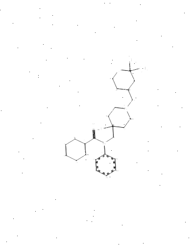 CC1(C)CC(CN2CCC(F)(CN(C(=O)C3CCCCC3)c3ccccc3)CC2)CCO1